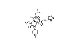 CC(C)C[C@H]1ON(C(=O)/C=C/c2ccnn2C)[C@H]2CN(C3CCN(C)CC3)C(=O)[C@H](CC(C)C)N2C1=O